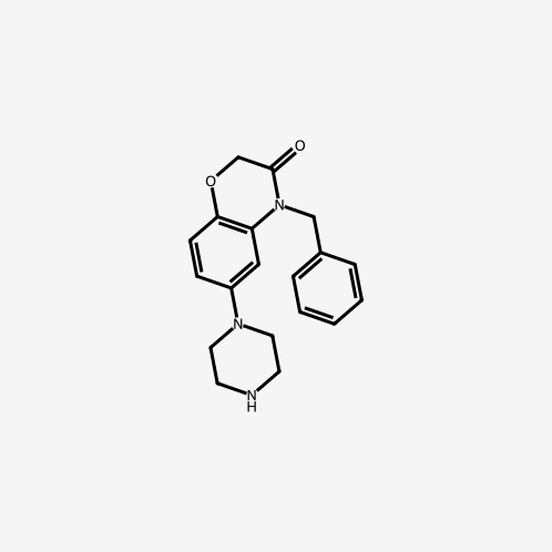 O=C1COc2ccc(N3CCNCC3)cc2N1Cc1ccccc1